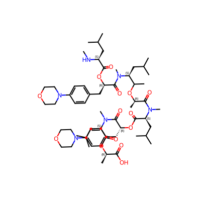 CN[C@@H](CC(C)C)C(=O)O[C@H](Cc1ccc(N2CCOCC2)cc1)C(=O)N(C)[C@@H](CC(C)C)C(C)O[C@H](C)C(=O)N(C)[C@@H](CC(C)C)C(=O)O[C@H](Cc1ccc(N2CCOCC2)cc1)C(=O)N(C)[C@@H](CC(C)C)C(=O)O[C@H](C)C(=O)O